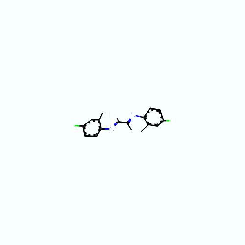 CCC(=Nc1ccc(Cl)cc1C)C(C)=Nc1ccc(Cl)cc1C